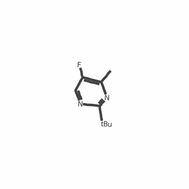 Cc1nc(C(C)(C)C)ncc1F